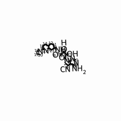 N#Cc1cn([C@@H]2O[C@H](C(=O)Nc3ccc4ccc(N5CCC5)nc4c3)[C@@H](O)[C@H]2O)c2ncnc(N)c12